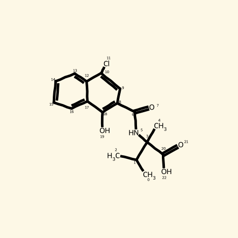 CC(C)C(C)(NC(=O)c1cc(Cl)c2ccccc2c1O)C(=O)O